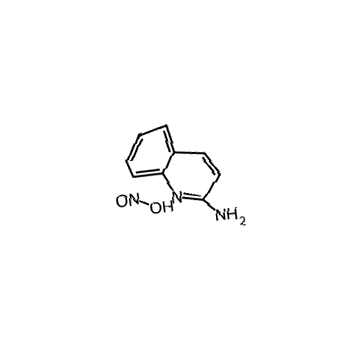 Nc1ccc2ccccc2n1.O=NO